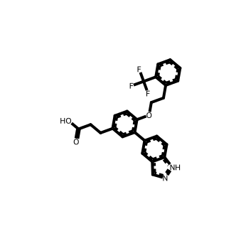 O=C(O)CCc1ccc(OCCc2ccccc2C(F)(F)F)c(-c2ccc3[nH]ncc3c2)c1